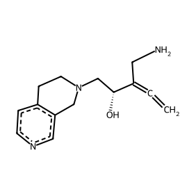 C=C=C(CN)[C@H](O)CN1CCc2ccncc2C1